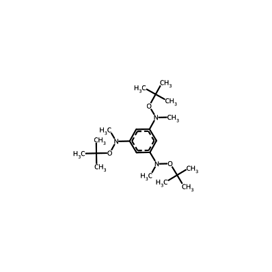 CN(OC(C)(C)C)c1cc(N(C)OC(C)(C)C)cc(N(C)OC(C)(C)C)c1